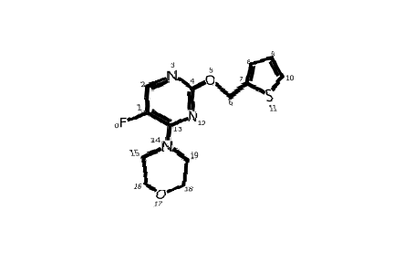 Fc1cnc(OCc2cccs2)nc1N1CCOCC1